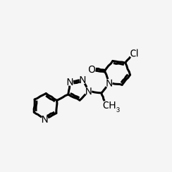 CC(n1cc(-c2cccnc2)nn1)n1ccc(Cl)cc1=O